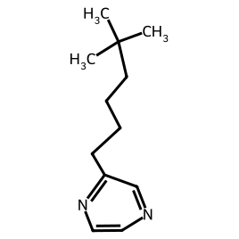 CC(C)(C)CCCCc1cnccn1